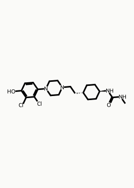 CNC(=O)N[C@H]1CC[C@H](CCN2CCN(c3ccc(O)c(Cl)c3Cl)CC2)CC1